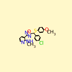 CNc1ncccc1-c1noc(C(Sc2ccc(OC)cc2)c2ccc(Cl)cc2)n1